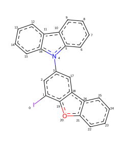 Ic1cc(-n2c3ccccc3c3ccccc32)cc2c1oc1ccccc12